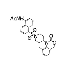 CC(=O)Nc1cccc2c(S(=O)(=O)N3CCC(N4C(=O)OCc5cccc(C)c54)CC3)cccc12